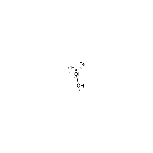 C.OO.[Fe]